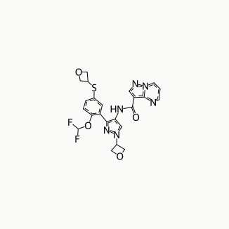 O=C(Nc1cn(C2COC2)nc1-c1cc(SC2COC2)ccc1OC(F)F)c1cnn2cccnc12